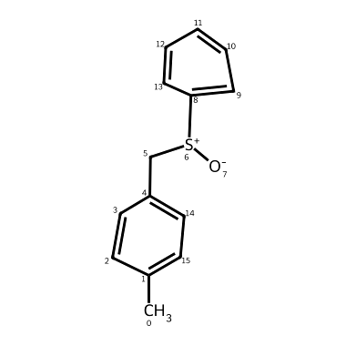 Cc1ccc(C[S+]([O-])c2ccccc2)cc1